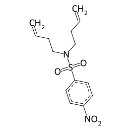 C=CCCN(CCC=C)S(=O)(=O)c1ccc([N+](=O)[O-])cc1